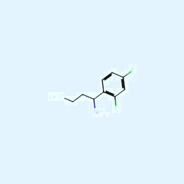 NC(CCC=O)c1ccc(F)cc1F